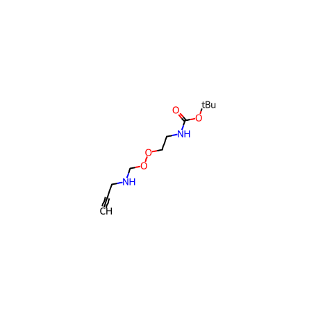 C#CCNCOOCCNC(=O)OC(C)(C)C